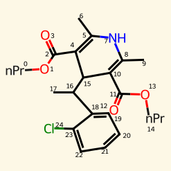 CCCOC(=O)C1=C(C)NC(C)=C(C(=O)OCCC)C1C(C)c1ccccc1Cl